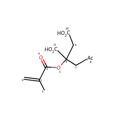 C=C(C)C(=O)OC(CC(C)=O)(CC(=O)O)C(=O)O